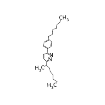 CCCCCCCc1ccc(-c2ccc(C(C)CCCCCC)nn2)cc1